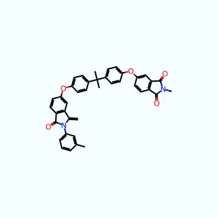 C=C1c2cc(Oc3ccc(C(C)(C)c4ccc(Oc5ccc6c(c5)C(=O)N(C)C6=O)cc4)cc3)ccc2C(=O)N1c1cccc(C)c1